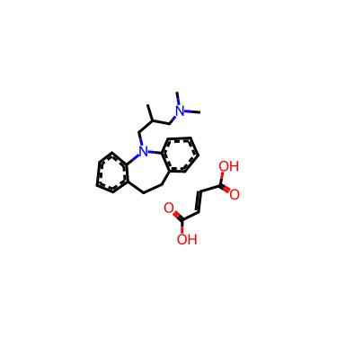 CC(CN(C)C)CN1c2ccccc2CCc2ccccc21.O=C(O)C=CC(=O)O